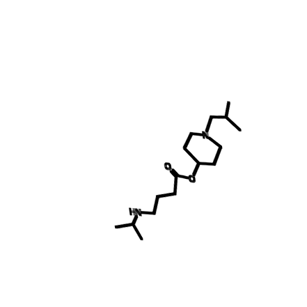 CC(C)CN1CCC(OC(=O)CCCNC(C)C)CC1